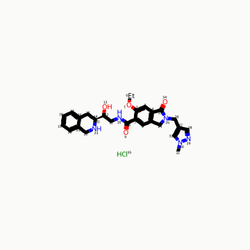 CCOc1cc2c(cc1C(=O)NCC(O)[C@@H]1Cc3ccccc3CN1)CN(Cc1cnn(C)c1)C2=O.Cl